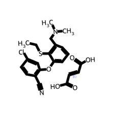 CCSc1c(CN(C)C)cccc1Oc1cc(Cl)ccc1C#N.O=C(O)/C=C/C(=O)O